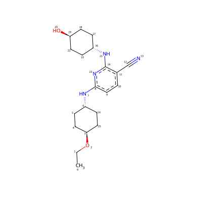 CCO[C@H]1CC[C@H](Nc2ccc(C#N)c(N[C@H]3CC[C@H](O)CC3)n2)CC1